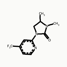 CC1CN(c2cc(C(F)(F)F)ccn2)C(=O)N1C